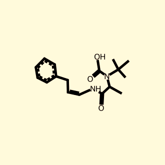 CC(C(=O)N/C=C\Cc1ccccc1)N(C(=O)O)C(C)(C)C